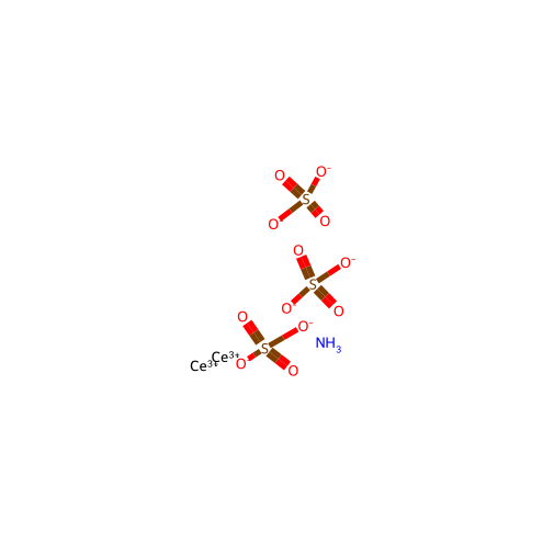 N.O=S(=O)([O-])[O-].O=S(=O)([O-])[O-].O=S(=O)([O-])[O-].[Ce+3].[Ce+3]